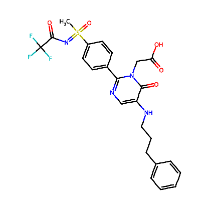 CS(=O)(=NC(=O)C(F)(F)F)c1ccc(-c2ncc(NCCCc3ccccc3)c(=O)n2CC(=O)O)cc1